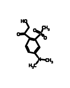 CN(C)c1ccc(C(=O)CO)c(S(C)(=O)=O)c1